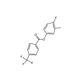 Cc1cc(OC(=O)c2ccc(C(F)(F)F)cc2)ccc1F